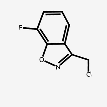 Fc1cccc2c(CCl)noc12